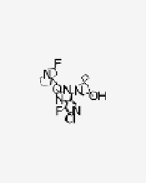 OC1CN(c2nc(OCC34CCCN3C[C@H](F)C4)nc3c(F)c(Cl)ncc23)CC2(CCC2)C1